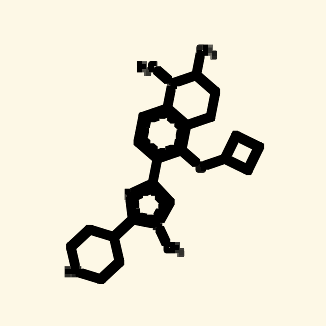 CC1CCc2c(ccc(-c3cn(C)c(C4CCNCC4)n3)c2OC2CCC2)N1C